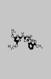 COc1cc(OC)nc(NC(=O)NS(=O)(=O)Nc2ccccc2C(C)=O)n1